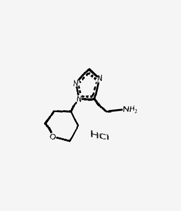 Cl.NCc1ncnn1C1CCOCC1